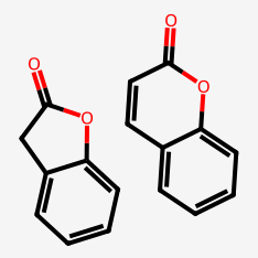 O=C1Cc2ccccc2O1.O=c1ccc2ccccc2o1